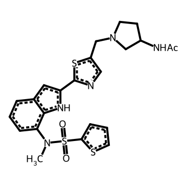 CC(=O)NC1CCN(Cc2cnc(-c3cc4cccc(N(C)S(=O)(=O)c5cccs5)c4[nH]3)s2)C1